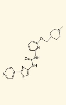 CN1CCC(COc2cccc(NC(=O)Nc3csc(-c4ccncc4)n3)n2)CC1